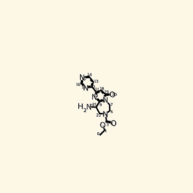 CCOC(=O)N1CCn2c(nc(-c3ccncn3)cc2=O)C(N)C1